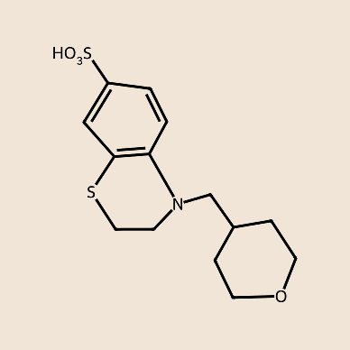 O=S(=O)(O)c1ccc2c(c1)SCCN2CC1CCOCC1